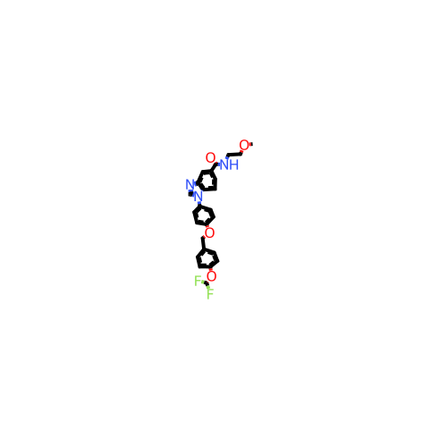 COCCNC(=O)c1ccc2c(c1)ncn2-c1ccc(OCc2ccc(OC(F)F)cc2)cc1